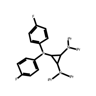 CC(C)N(C(C)C)C1C(N(C(C)C)C(C)C)C1P(c1ccc(F)cc1)c1ccc(F)cc1